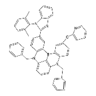 Cc1cccc(C)c1-n1c(-c2ccc3c(c2)B2c4cc(Oc5ccccn5)ccc4N(Cc4ccccc4)c4cccc(c42)N3Cc2ccccc2)nc2ccccc21